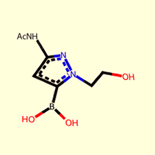 CC(=O)Nc1cc(B(O)O)n(CCO)n1